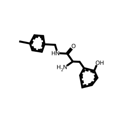 Cc1ccc(CNC(=O)C(N)Cc2ccccc2O)cc1